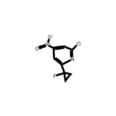 O=[N+]([O-])c1cc(Cl)nc(C2(F)CC2)c1